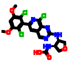 COc1cc(OC)c(Cl)c(-c2cc3cnc(N[C@@H]4COC[C@@H]4NC(=O)O)nc3c(Cl)n2)c1Cl